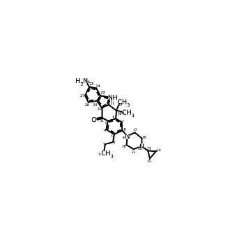 CCCc1cc2c(cc1N1CCN(C3CC3)CC1)C(C)(C)c1[nH]c3cc(N)ccc3c1C2=O